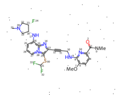 CNC(=O)c1ccc(OC)c(NCC#Cc2nc3c(N[C@@H]4CN(C)C[C@@H]4F)cccn3c2SC(F)F)n1